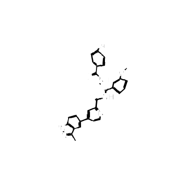 COc1cccc([C@@H](CNC(=O)c2ccc(Br)cc2)NC(=O)c2cc(-c3ccc4[nH]nc(C)c4c3)ccn2)c1